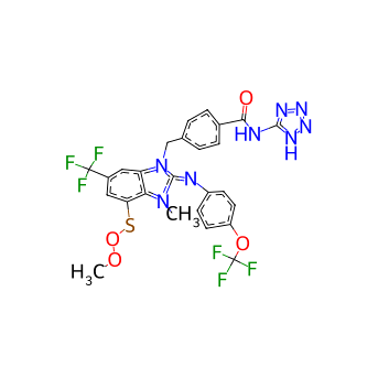 COOSc1cc(C(F)(F)F)cc2c1n(C)/c(=N\c1ccc(OC(F)(F)F)cc1)n2Cc1ccc(C(=O)Nc2nnn[nH]2)cc1